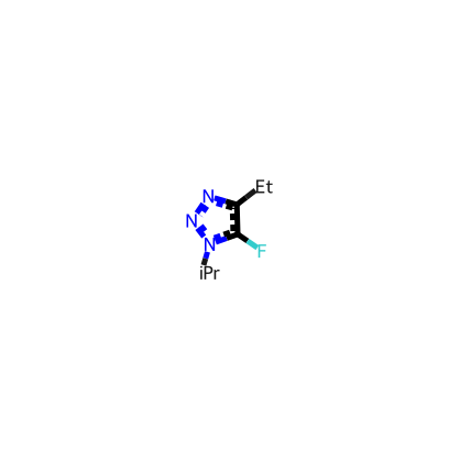 CCc1nnn(C(C)C)c1F